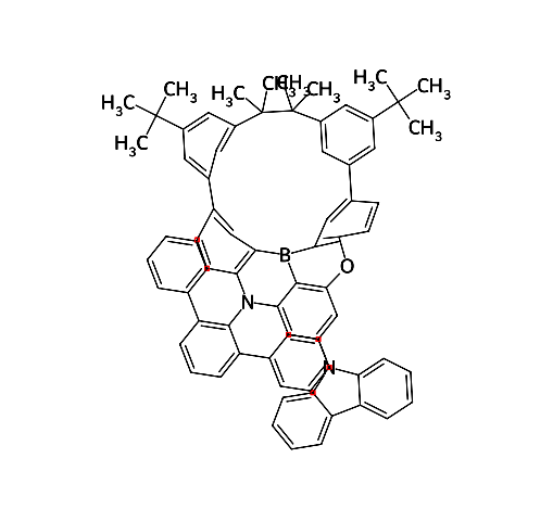 CC(C)(C)c1cc2cc(c1)C(C)(C)C(C)(C)c1cc(cc(C(C)(C)C)c1)-c1ccc3c(c1)B1c4cc-2ccc4Oc2cc(-n4c5ccccc5c5ccccc54)cc(c21)N3c1c(-c2ccccc2)cccc1-c1ccccc1